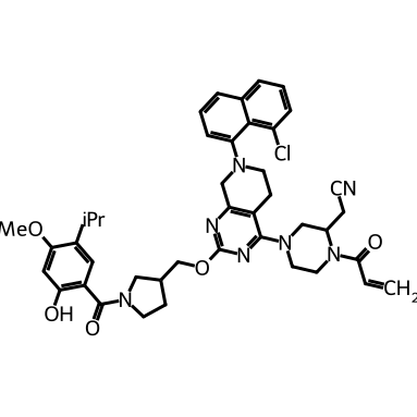 C=CC(=O)N1CCN(c2nc(OCC3CCN(C(=O)c4cc(C(C)C)c(OC)cc4O)C3)nc3c2CCN(c2cccc4cccc(Cl)c24)C3)CC1CC#N